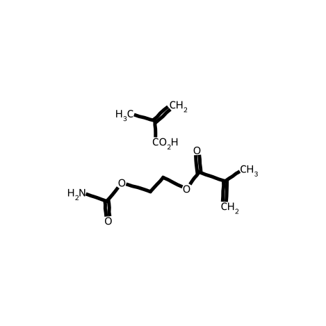 C=C(C)C(=O)O.C=C(C)C(=O)OCCOC(N)=O